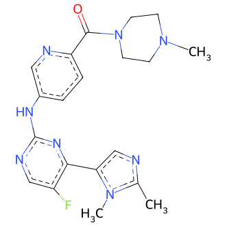 Cc1ncc(-c2nc(Nc3ccc(C(=O)N4CCN(C)CC4)nc3)ncc2F)n1C